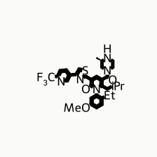 CCc1ccc(OC)cc1-n1c(CC(C)C)c(C(=O)N2CCN[C@H](C)C2)cc(-c2nc(-c3ccc(C(F)(F)F)nc3)cs2)c1=O